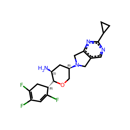 N[C@H]1C[C@@H](N2Cc3cnc(C4CC4)nc3C2)COC1[C@H]1CC(F)=C(F)C=C1F